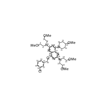 COCCN(CCOC)c1nc(N2CCC(OC)CC2)c2nc(N(CCOC)CCOC)nc(OCc3cccc(Cl)c3)c2n1